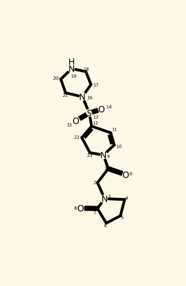 O=C(CN1CCCC1=O)N1C=CC(S(=O)(=O)N2CCNCC2)=CC1